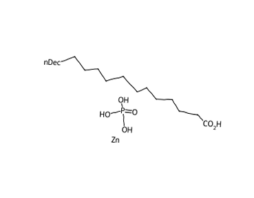 CCCCCCCCCCCCCCCCCCCCCC(=O)O.O=P(O)(O)O.[Zn]